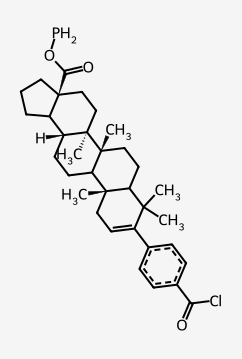 CC1(C)C(c2ccc(C(=O)Cl)cc2)=CC[C@@]2(C)C1CC[C@]1(C)C2CC[C@@H]2C3CCC[C@]3(C(=O)OP)CC[C@]21C